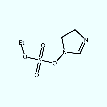 CCOS(=O)(=O)ON1C=NCC1